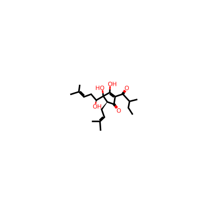 CCC(C)C(=O)C1=C(O)C(O)([C@@H](O)CC=C(C)C)[C@H](CC=C(C)C)C1=O